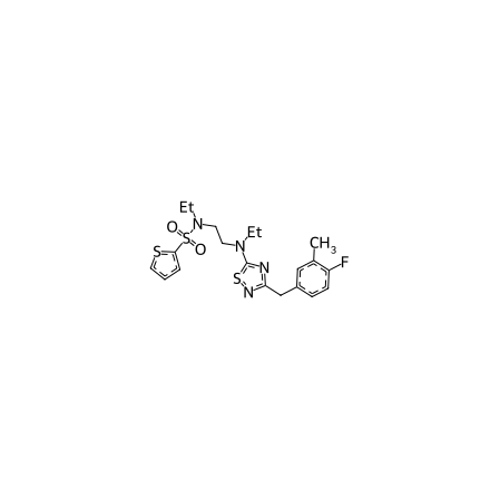 CCN(CCN(CC)S(=O)(=O)c1cccs1)c1nc(Cc2ccc(F)c(C)c2)ns1